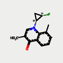 Cc1[c]ccc2c(=O)c(C(=O)O)cn([C@@H]3C[C@@H]3F)c12